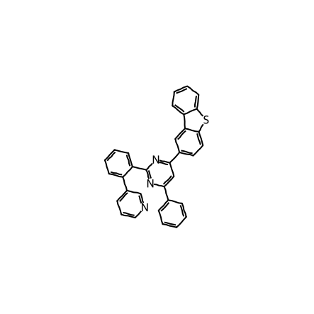 c1ccc(-c2cc(-c3ccc4sc5ccccc5c4c3)nc(-c3ccccc3-c3cccnc3)n2)cc1